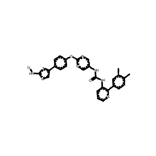 CCNc1ncc(-c2ccc(Oc3ncc(NC(=O)Nc4cccnc4-c4ccc(C)c(C)c4)cn3)cc2)s1